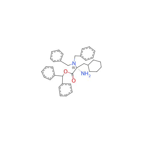 N[C@](CC1CCCCC1)(C(=O)OC(c1ccccc1)c1ccccc1)N(Cc1ccccc1)Cc1ccccc1